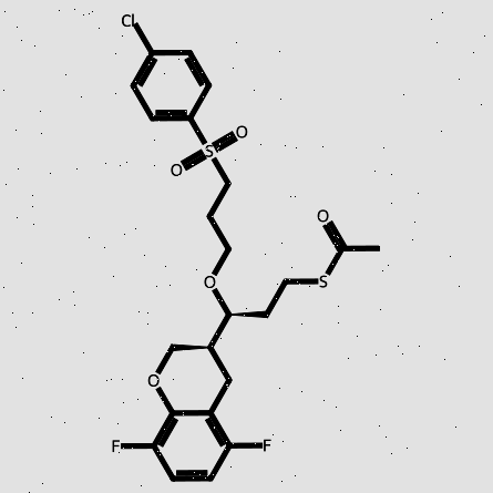 CC(=O)SCC[C@H](OCCCS(=O)(=O)c1ccc(Cl)cc1)[C@@H]1COc2c(F)ccc(F)c2C1